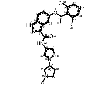 C[C@@H](Oc1ccc2[nH]nc(C(=O)Nc3cnn([C@@H]4CCN(C)C4)c3)c2c1)c1c(Cl)cncc1Cl